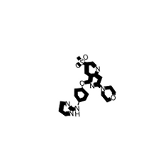 CS(=O)(=O)c1cnc2cc(N3CCOCC3)nc(O[C@H]3CC[C@@H](Nc4ncccn4)CC3)c2c1